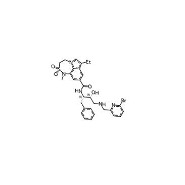 CCc1cn2c3c(cc(C(=O)N[C@@H](Cc4ccccc4)[C@H](O)CNCc4cccc(Br)n4)cc13)N(C)S(=O)(=O)CC2